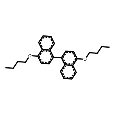 CCCCOc1ccc(-c2ccc(OCCCC)c3ccccc23)c2ccccc12